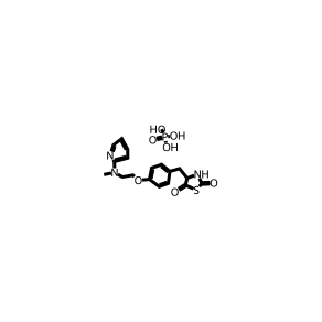 CN(CCOc1ccc(CC2NC(=O)SC2=O)cc1)c1ccccn1.O=P(O)(O)O